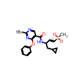 CC(C)(C)c1ncc(C(=O)NC(/C=C/S(C)(=O)=O)CC2CC2)c(Oc2ccccc2)n1